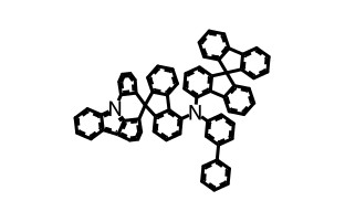 c1ccc(-c2cccc(N(c3cccc4c3-c3ccccc3C43c4ccccc4-c4ccccc43)c3cccc4c3-c3ccccc3C43c4ccccc4-n4c5ccccc5c5cccc3c54)c2)cc1